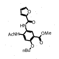 CCCCOc1cc(NC(C)=O)c(NC(=O)c2ccco2)cc1C(=O)OC